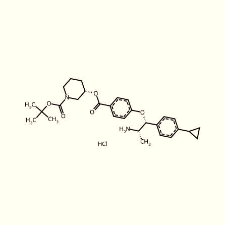 C[C@H](N)[C@H](Oc1ccc(C(=O)O[C@H]2CCCN(C(=O)OC(C)(C)C)C2)cc1)c1ccc(C2CC2)cc1.Cl